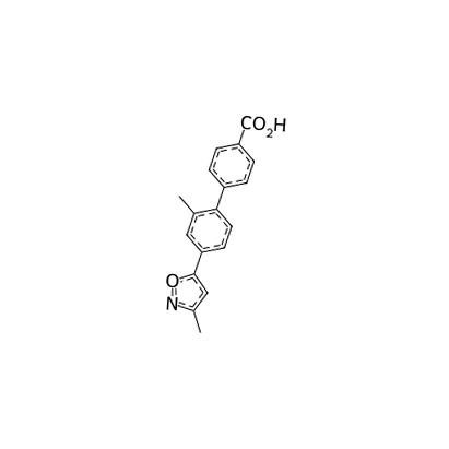 Cc1cc(-c2ccc(-c3ccc(C(=O)O)cc3)c(C)c2)on1